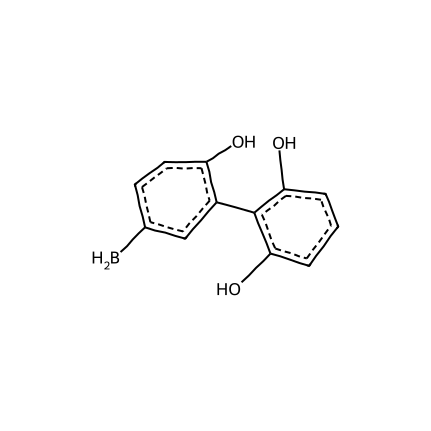 Bc1ccc(O)c(-c2c(O)cccc2O)c1